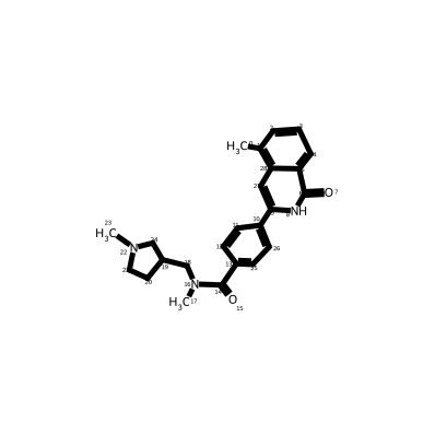 Cc1cccc2c(=O)[nH]c(-c3ccc(C(=O)N(C)CC4CCN(C)C4)cc3)cc12